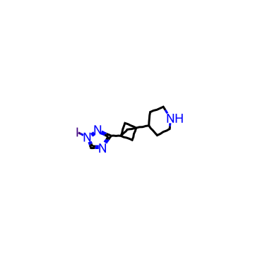 In1cnc(C23CC(C4CCNCC4)(C2)C3)n1